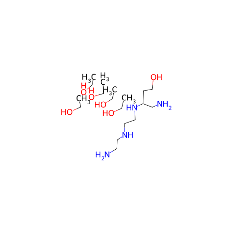 CCO.CCO.CCO.CCO.CCO.NCCNCCNC(CN)CCO